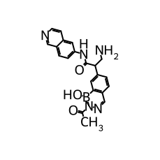 CC(=O)N1N=Cc2ccc(C(CN)C(=O)Nc3ccc4cnccc4c3)cc2B1O